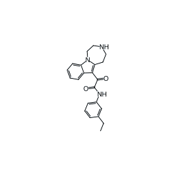 CCc1cccc(NC(=O)C(=O)c2c3n(c4ccccc24)CCNCC3)c1